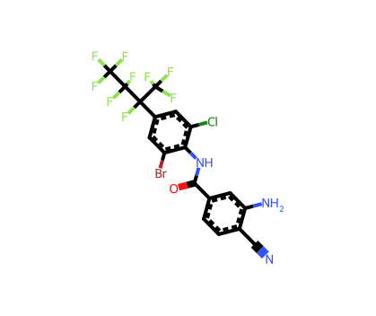 N#Cc1ccc(C(=O)Nc2c(Cl)cc(C(F)(C(F)(F)F)C(F)(F)C(F)(F)F)cc2Br)cc1N